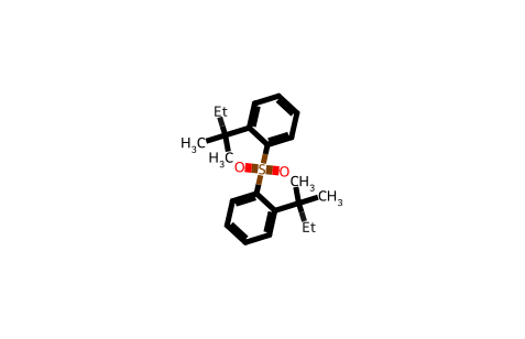 CCC(C)(C)c1ccccc1S(=O)(=O)c1ccccc1C(C)(C)CC